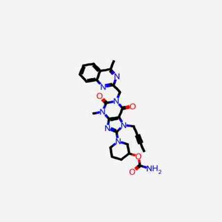 CC#CCn1c(N2CCCC(OC(N)=O)C2)nc2c1c(=O)n(Cc1nc(C)c3ccccc3n1)c(=O)n2C